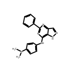 CN(C)c1ccc(Nc2nc(-c3ccccc3)nc3cn[nH]c23)cc1